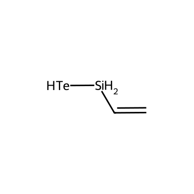 C=C[SiH2][TeH]